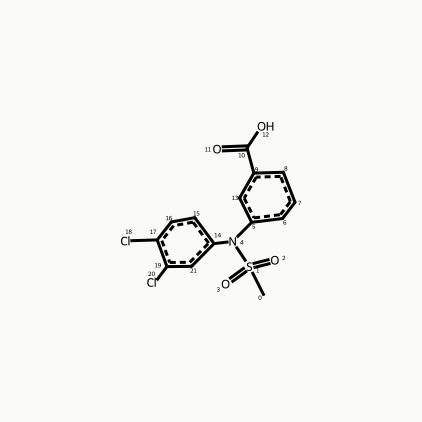 CS(=O)(=O)N(c1cccc(C(=O)O)c1)c1ccc(Cl)c(Cl)c1